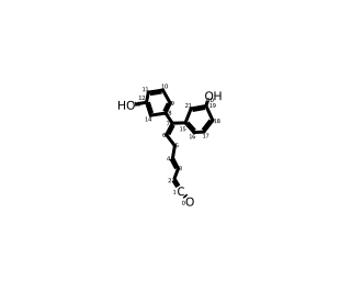 O=C=CC=CCC=C(c1cccc(O)c1)c1cccc(O)c1